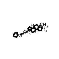 CN1C(=O)CC[C@@]2(C)C1CC[C@@H]1[C@H]2CC[C@]2(C)C(COCCOc3ccccc3)CC[C@@H]12